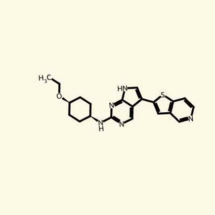 CCO[C@H]1CC[C@@H](Nc2ncc3c(-c4cc5cnccc5s4)c[nH]c3n2)CC1